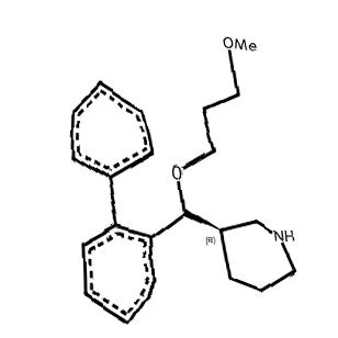 COCCCOC(c1ccccc1-c1ccccc1)[C@@H]1CCCNC1